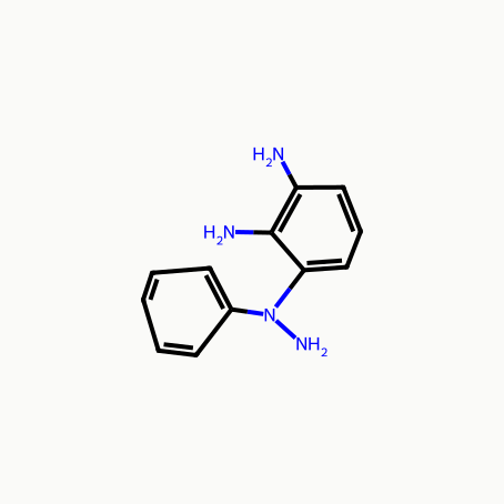 Nc1cccc(N(N)c2ccccc2)c1N